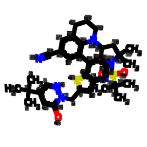 CC(C)(C)c1cnn(Cc2cc3nccc(-c4cc(C#N)cc5c4N(C4CN(S(=O)(=O)C(C)(C)C)C(C)(C)C4)CCC5)c3s2)c(=O)c1